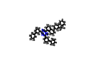 CC1(C)c2ccccc2-c2ccc(-c3cccc4c(-c5nc(-c6cccc(-c7ccccc7)c6)nc(-c6cccc(-c7ccccc7)c6)n5)cccc34)cc21